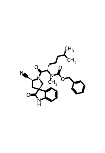 CC(C)CCC[C@@H](C(=O)N1C[C@]2(C[C@H]1C#N)C(=O)Nc1ccccc12)N(C)C(=O)OCc1ccccc1